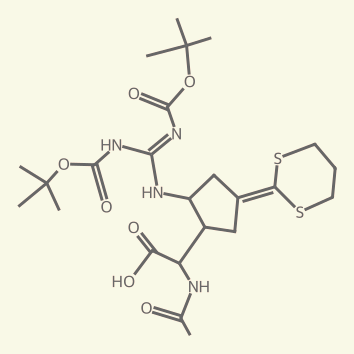 CC(=O)NC(C(=O)O)C1CC(=C2SCCCS2)CC1NC(=NC(=O)OC(C)(C)C)NC(=O)OC(C)(C)C